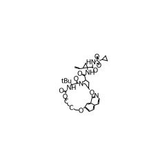 C=CC1CC1(NC(=O)C1CC2CN1C(=O)C(C(C)(C)C)NC(=O)OCCCCOc1ccc3ccnc(c3c1)O2)C(=O)NS(=O)(=O)C1CC1